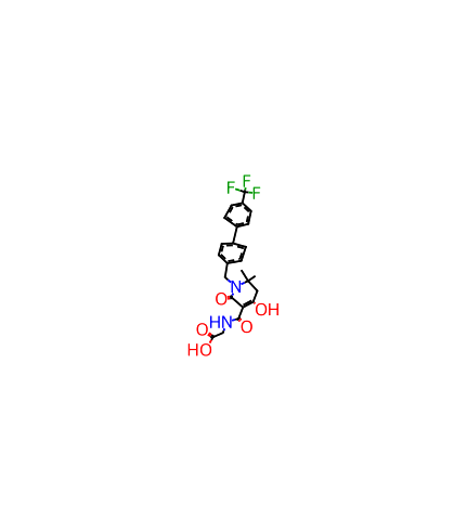 CC1(C)CC(O)=C(C(=O)NCC(=O)O)C(=O)N1Cc1ccc(-c2ccc(C(F)(F)F)cc2)cc1